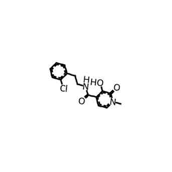 Cn1ccc(C(=O)NCCc2ccccc2Cl)c(O)c1=O